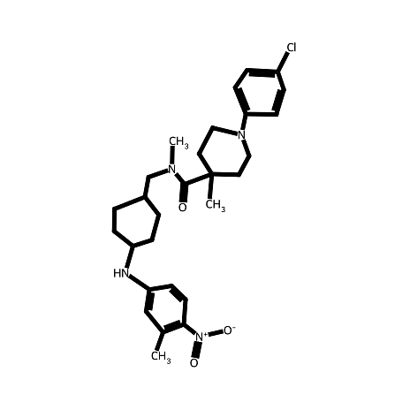 Cc1cc(NC2CCC(CN(C)C(=O)C3(C)CCN(c4ccc(Cl)cc4)CC3)CC2)ccc1[N+](=O)[O-]